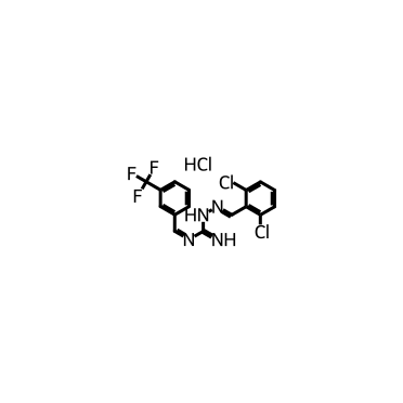 Cl.N=C(/N=C\c1cccc(C(F)(F)F)c1)N/N=C/c1c(Cl)cccc1Cl